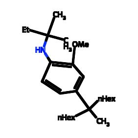 CCCCCCC(C)(CCCCCC)c1ccc(NC(C)(C)CC)c(OC)c1